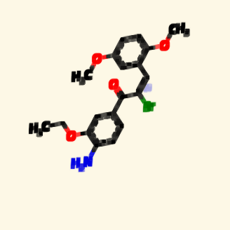 CCOc1cc(C(=O)/C(Br)=C\c2cc(OC)ccc2OC)ccc1N